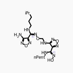 CCCCCN/C(=N\O)c1nonc1NCO/N=C(/NCCCC(C)C)c1nonc1N